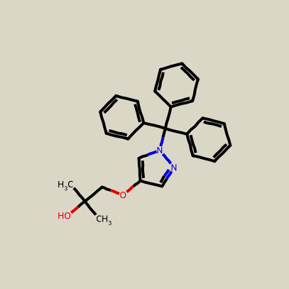 CC(C)(O)COc1cnn(C(c2ccccc2)(c2ccccc2)c2ccccc2)c1